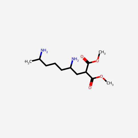 [CH2]C(N)CCCC(N)CC(C(=O)OC)C(=O)OC